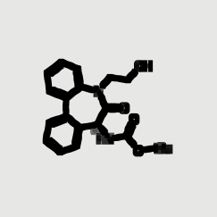 CC(C)(C)OC(=O)N[C@@H]1C(=O)N(CCO)c2ccccc2-c2ccccc21